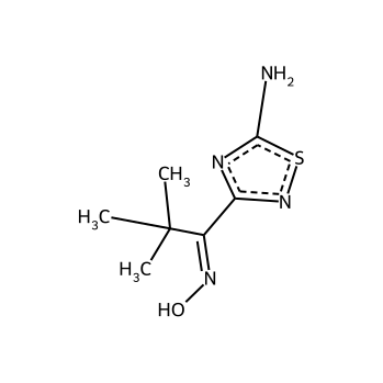 CC(C)(C)C(=NO)c1nsc(N)n1